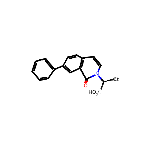 CC[C@@H](C(=O)O)n1ccc2ccc(-c3ccccc3)cc2c1=O